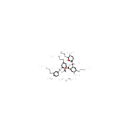 CCCCc1cc(C(C)(CC(=O)OC(=O)CC(C)(c2ccc(O)c(CCCC)c2)c2ccc(O)c(CCCC)c2)c2ccc(O)c(CCCC)c2)ccc1O.OCCO